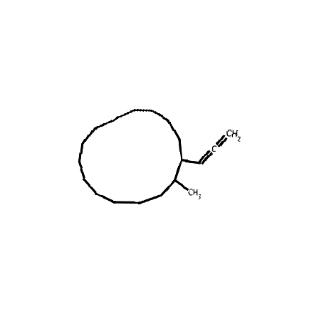 C=C=CC1CCCCCCCCCCCCCC1C